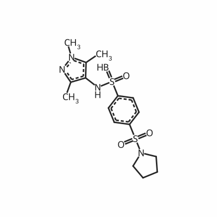 B=S(=O)(Nc1c(C)nn(C)c1C)c1ccc(S(=O)(=O)N2CCCC2)cc1